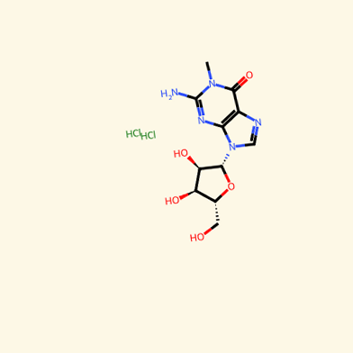 Cl.Cl.Cn1c(N)nc2c(ncn2[C@@H]2O[C@H](CO)[C@@H](O)[C@H]2O)c1=O